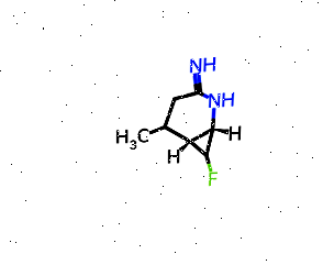 CC1CC(=N)N[C@@H]2C(F)[C@H]12